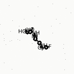 COc1cc2c(cc1Nc1nc3ccc(-c4ccc(NC(=O)[C@H](C)c5ccc(F)cc5)cc4)cn3n1)CCS2(O)O